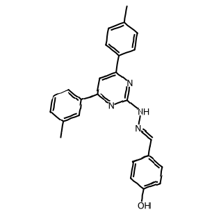 Cc1ccc(-c2cc(-c3cccc(C)c3)nc(NN=Cc3ccc(O)cc3)n2)cc1